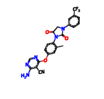 Cc1cc(Oc2ncnc(N)c2C#N)ccc1N1C(=O)CN(c2cccc(C(F)(F)F)c2)C1=O